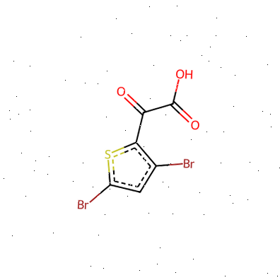 O=C(O)C(=O)c1sc(Br)cc1Br